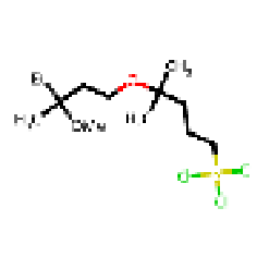 CCC(C)(CCOC(C)(C)CCCS(Cl)(Cl)Cl)OC